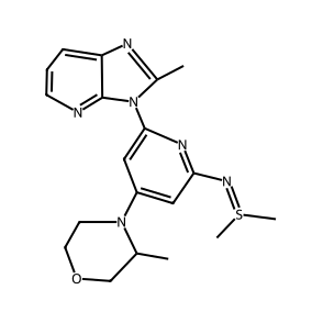 Cc1nc2cccnc2n1-c1cc(N2CCOCC2C)cc(N=S(C)C)n1